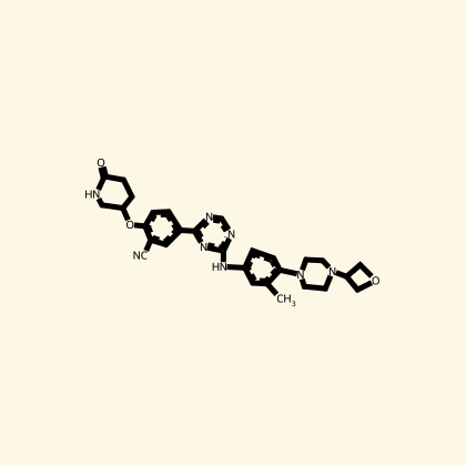 Cc1cc(Nc2ncnc(-c3ccc(OC4CCC(=O)NC4)c(C#N)c3)n2)ccc1N1CCN(C2COC2)CC1